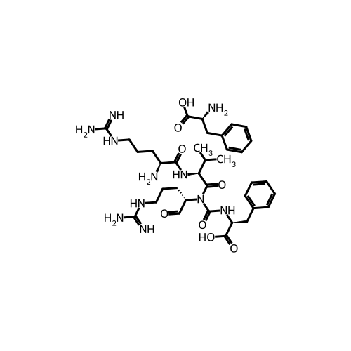 CC(C)[C@H](NC(=O)[C@@H](N)CCCNC(=N)N)C(=O)N(C(=O)N[C@@H](Cc1ccccc1)C(=O)O)[C@H](C=O)CCCNC(=N)N.N[C@@H](Cc1ccccc1)C(=O)O